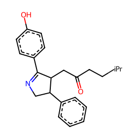 CC(C)CCC(=O)CC1C(c2ccc(O)cc2)=NCC1c1ccccc1